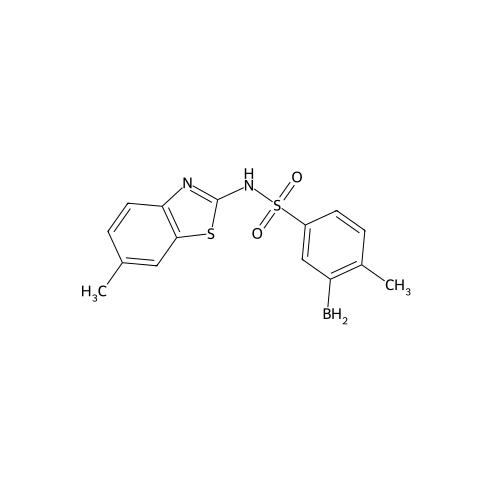 Bc1cc(S(=O)(=O)Nc2nc3ccc(C)cc3s2)ccc1C